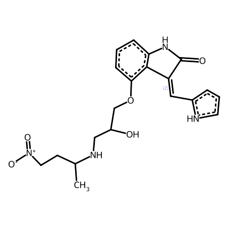 CC(CC[N+](=O)[O-])NCC(O)COc1cccc2c1/C(=C/c1ccc[nH]1)C(=O)N2